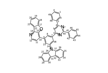 c1ccc(-c2cc(-c3cc(-c4ccnc5c4oc4ccccc45)cc(-n4c5ccccc5c5ccccc54)c3)nc(-c3ccccc3)n2)cc1